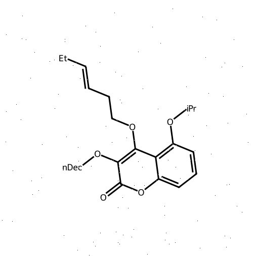 CCC=CCCOc1c(OCCCCCCCCCC)c(=O)oc2cccc(OC(C)C)c12